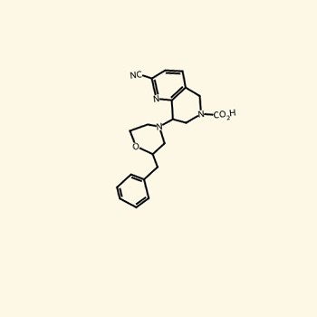 N#Cc1ccc2c(n1)C(N1CCOC(Cc3ccccc3)C1)CN(C(=O)O)C2